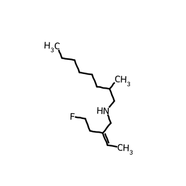 CC=C(CCF)CNCC(C)CCCCCC